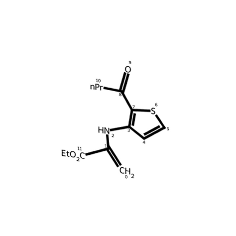 C=C(Nc1ccsc1C(=O)CCC)C(=O)OCC